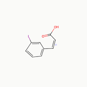 O=C(O)/C=C\c1cccc(I)c1